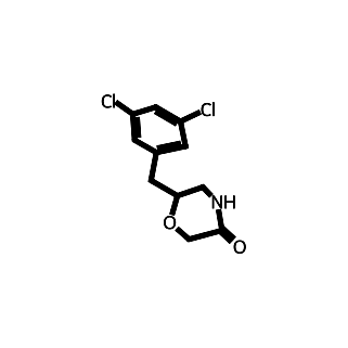 O=C1COC(Cc2cc(Cl)cc(Cl)c2)CN1